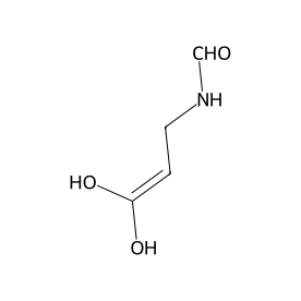 O=CNCC=C(O)O